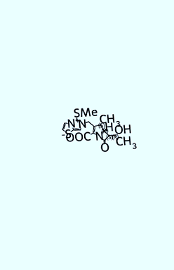 CSc1n(CC2=C(C(=O)[O-])N3C(=O)[C@H]([C@@H](C)O)[C@H]3[C@H]2C)cc2scc[n+]12